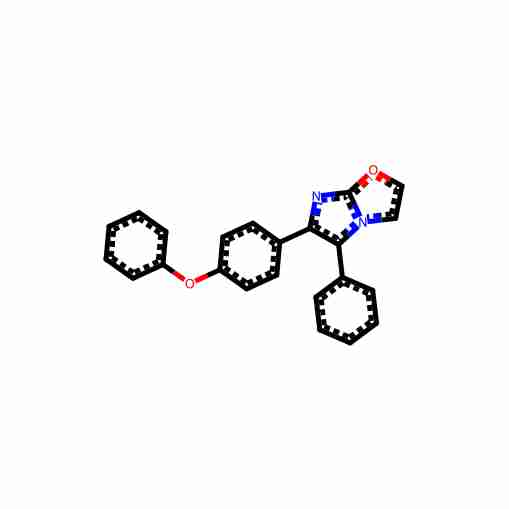 c1ccc(Oc2ccc(-c3nc4occn4c3-c3ccccc3)cc2)cc1